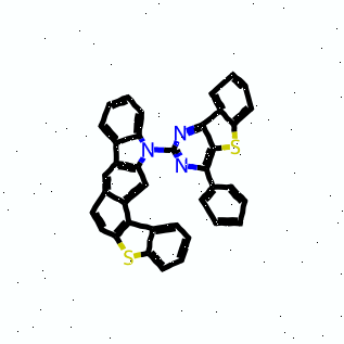 c1ccc(-c2nc(-n3c4ccccc4c4cc5ccc6sc7ccccc7c6c5cc43)nc3c2sc2ccccc23)cc1